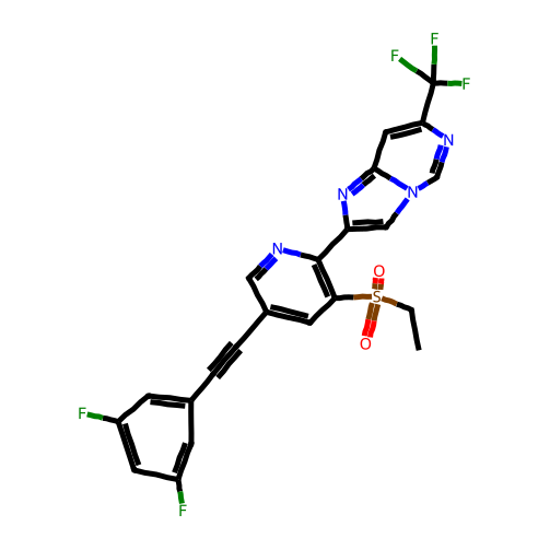 CCS(=O)(=O)c1cc(C#Cc2cc(F)cc(F)c2)cnc1-c1cn2cnc(C(F)(F)F)cc2n1